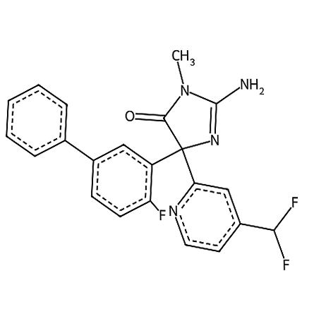 CN1C(=O)C(c2cc(C(F)F)ccn2)(c2cc(-c3ccccc3)ccc2F)N=C1N